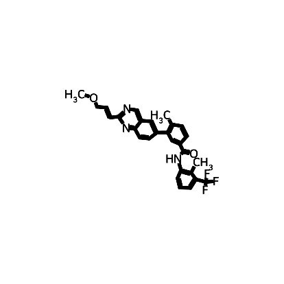 COCC=Cc1ncc2cc(-c3cc(C(=O)Nc4cccc(C(F)(F)F)c4C)ccc3C)ccc2n1